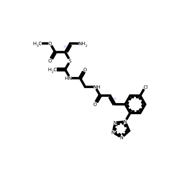 C=C(NC(=O)CNC(=O)/C=C/c1cc(Cl)ccc1-n1cnnn1)S/C(=C\N)C(=O)OC